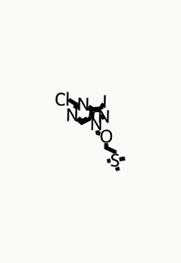 CS(C)(C)CCOCn1nc(I)c2nc(Cl)ncc21